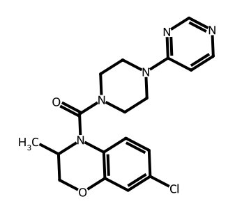 CC1COc2cc(Cl)ccc2N1C(=O)N1CCN(c2ccncn2)CC1